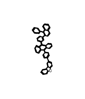 c1ccc(-c2c(-c3cccc(-c4c5ccccc5c(-c5ccc(-c6ccc7oc8ccccc8c7c6)cc5)c5ccccc45)c3)ccc3ccccc23)cc1